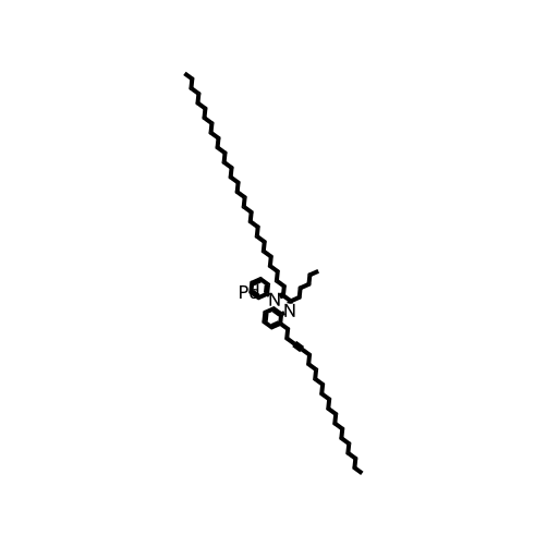 CCCCCCCCCCCCCCCCCC#CCCc1ccccc1N=C(CCCCC)C(CCCCCCCCCCCCCCCCCCCCCCCCCCCCCC)=Nc1ccccc1.[Pd]